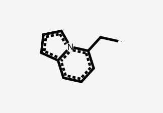 [CH2]Cc1cccc2cccn12